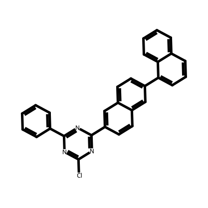 Clc1nc(-c2ccccc2)nc(-c2ccc3cc(-c4cccc5ccccc45)ccc3c2)n1